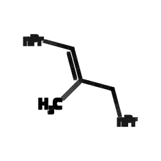 [CH2]CCC/C(C)=C/CCC